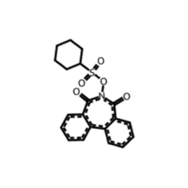 O=c1c2ccccc2c2ccccc2c(=O)n1OS(=O)(=O)C1CCCCC1